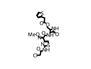 CO/N=C(\C(=O)NC1C(=O)NC1COC(=O)Cc1cccs1)c1csc(NC(=O)CCl)n1